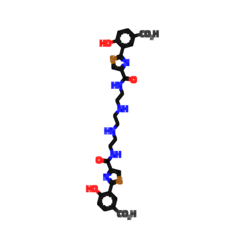 O=C(O)c1ccc(O)c(-c2nc(C(=O)NCCNCCNCCNC(=O)c3csc(-c4cc(C(=O)O)ccc4O)n3)cs2)c1